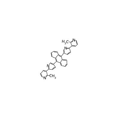 Cc1ncccc1-c1ccc(-c2c3ccccc3c(-c3ccc(-c4cccnc4C)nc3)c3ccccc23)cn1